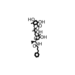 Cc1c(O)cc(O)c2c1C[C@H]([C@H](C)[C@@H](O)CC1O[C@H](C(NC(=O)CCCc3ccccc3)C3CC3)CC(O)C1(C)C)OC2=O